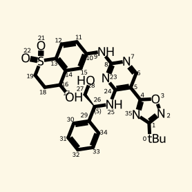 CC(C)(C)c1noc(-c2cnc(Nc3ccc4c(c3)C(O)CCS4(=O)=O)nc2N[C@H](CO)c2ccccc2)n1